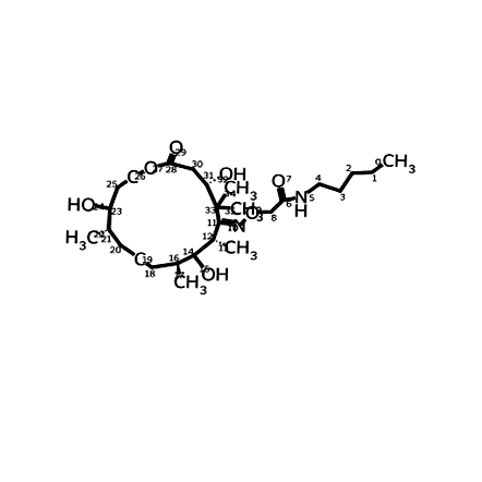 CCCCCNC(=O)CO/N=C1/[C@H](C)C(O)[C@@H](C)CCC[C@H](C)C(O)CCOC(=O)C[C@H](O)C1(C)C